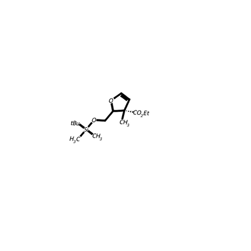 CCOC(=O)[C@@]1(C)C=COC1CO[Si](C)(C)C(C)(C)C